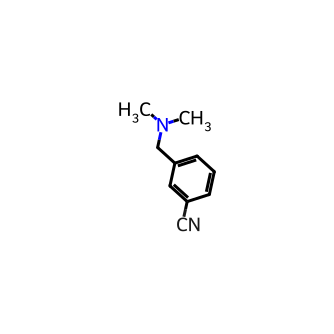 CN(C)Cc1cccc(C#N)c1